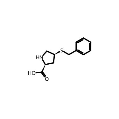 O=C(O)[C@@H]1C[C@H](SCc2ccccc2)CN1